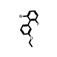 CCOc1cccc(-c2c(F)cccc2Br)c1